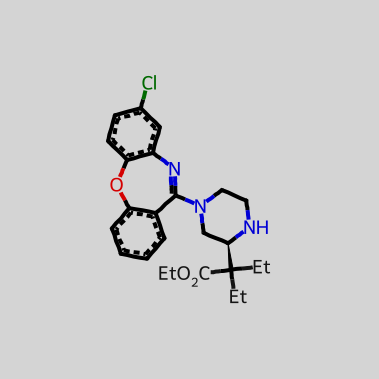 CCOC(=O)C(CC)(CC)[C@H]1CN(C2=Nc3cc(Cl)ccc3Oc3ccccc32)CCN1